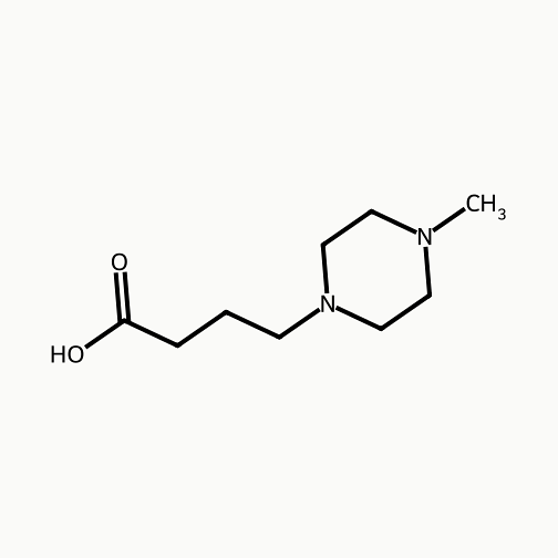 CN1CCN(CCCC(=O)O)CC1